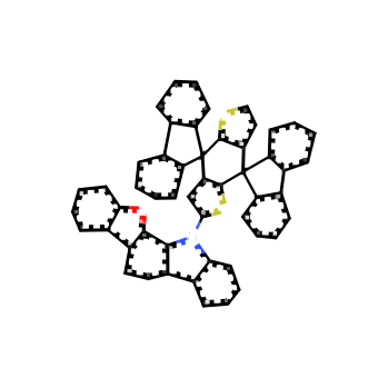 c1ccc2c(c1)-c1ccccc1C21c2cc(-n3c4ccccc4c4ccc5c6ccccc6oc5c43)sc2C2(c3ccccc3-c3ccccc32)c2ccsc21